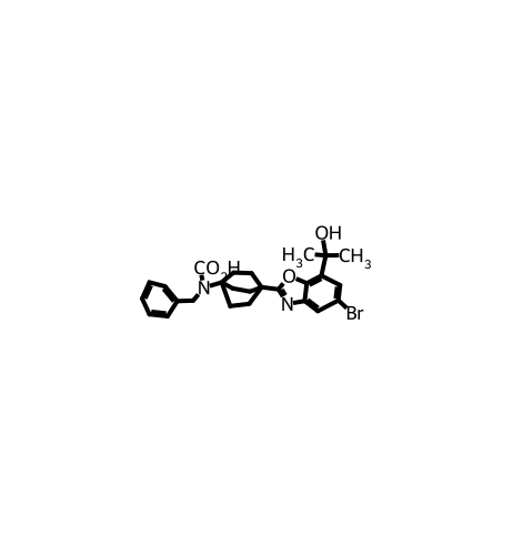 CC(C)(O)c1cc(Br)cc2nc(C34CCC(N(Cc5ccccc5)C(=O)O)(CC3)CC4)oc12